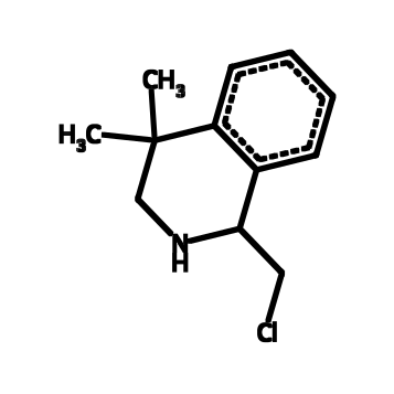 CC1(C)CNC(CCl)c2ccccc21